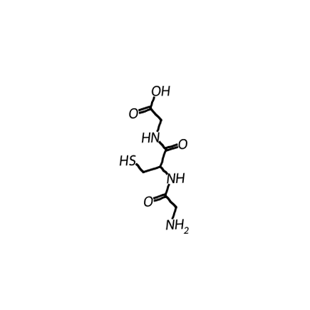 NCC(=O)NC(CS)C(=O)NCC(=O)O